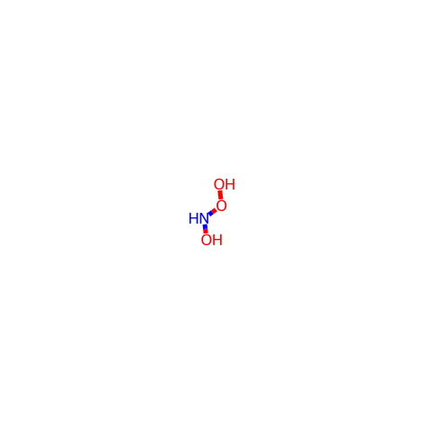 ONOO